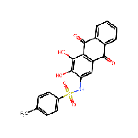 O=C1c2ccccc2C(=O)c2c1cc(NS(=O)(=O)c1ccc(C(F)(F)F)cc1)c(O)c2O